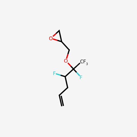 C=CCC(F)C(F)(OCC1CO1)C(F)(F)F